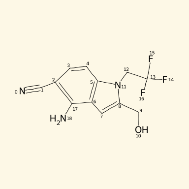 N#Cc1ccc2c(cc(CO)n2CC(F)(F)F)c1N